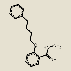 N=C(NN)c1ccccc1OCCCCc1ccccc1